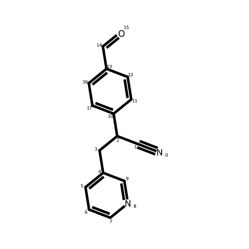 N#CC(Cc1cccnc1)c1ccc(C=O)cc1